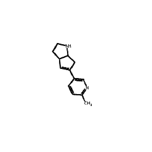 Cc1ccc(C2=CC3CCNC3C2)cn1